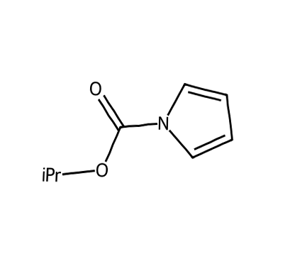 CC(C)OC(=O)n1cccc1